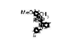 COc1ccc(C)c(S(=O)(=O)NC(=O)c2nn(Cc3cccc(F)c3)c3ccccc23)c1